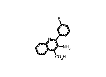 Nc1c(-c2cccc(F)c2)nc2ccccc2c1C(=O)O